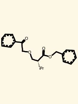 CC(C)[C@H](COCC(=O)c1ccccc1)C(=O)OCc1ccccc1